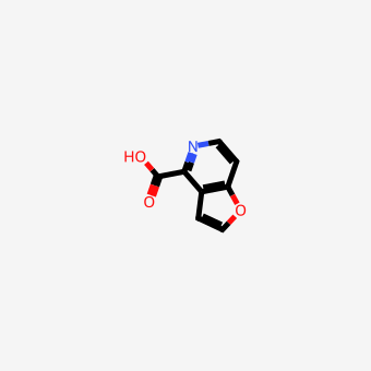 O=C(O)c1nccc2occc12